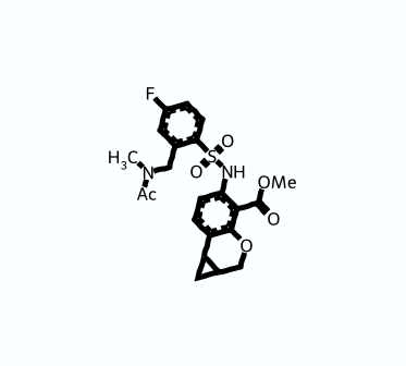 COC(=O)c1c(NS(=O)(=O)c2ccc(F)cc2CN(C)C(C)=O)ccc2c1OCC1CC21